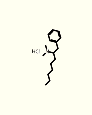 CCCCCCC(Cc1ccccc1)N(C)C.Cl